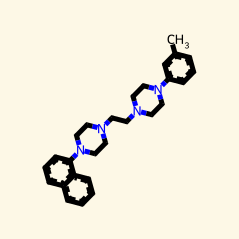 Cc1cccc(N2CCN(CCN3CCN(c4cccc5ccccc45)CC3)CC2)c1